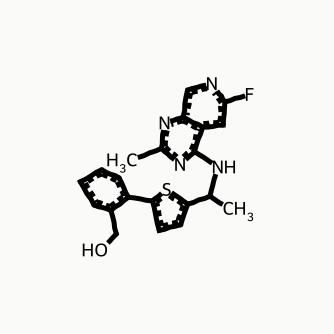 Cc1nc(NC(C)c2ccc(-c3ccccc3CO)s2)c2cc(F)ncc2n1